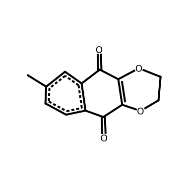 Cc1ccc2c(c1)C(=O)C1=C(OCCO1)C2=O